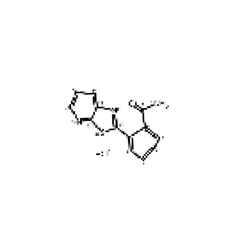 Cl.NC(=O)c1ccccc1-c1nc2cccnc2s1